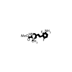 COC(=O)C1NCC(C=Cc2c(F)ccc(N)c2F)=CN1C